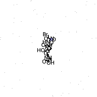 CO/N=C(/C(=O)CBr)C(=O)NC1C(=O)N2C(C(=O)O)=C(CSc3nc(=O)c(O)nn3C)CS[C@@H]12